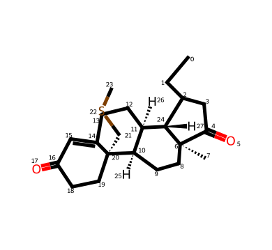 CCC1CC(=O)[C@@]2(C)CC[C@@H]3[C@@H](CCC4=CC(=O)CC[C@@]43CSC)[C@H]12